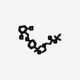 CC(C)(C)OC(=O)CCN1CCOC(C)(c2ccc(OCc3c(Cl)cccc3Cl)cc2)C1